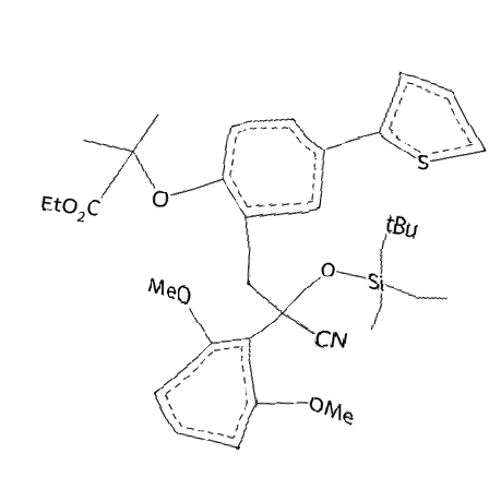 CCOC(=O)C(C)(C)Oc1ccc(-c2cccs2)cc1CC(C#N)(O[Si](C)(C)C(C)(C)C)c1c(OC)cccc1OC